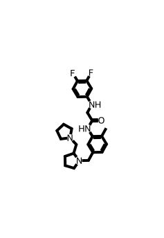 Cc1ccc(CN2CCCC2CN2CCCC2)cc1NC(=O)CNc1ccc(F)c(F)c1